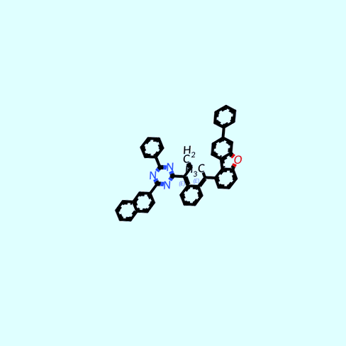 C=C/C(c1nc(-c2ccccc2)nc(-c2ccc3ccccc3c2)n1)=c1/cccc/c1=C(/C)c1cccc2oc3cc(-c4ccccc4)ccc3c12